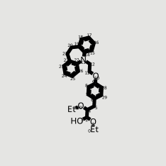 CCOC(O)C(Cc1ccc(OCCN2c3ccccc3CCc3ccccc32)cc1)OCC